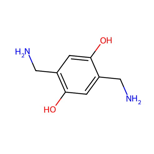 NCc1cc(O)c(CN)cc1O